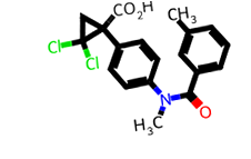 Cc1cccc(C(=O)N(C)c2ccc(C3(C(=O)O)CC3(Cl)Cl)cc2)c1